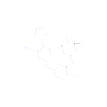 CN1C(C)(C)CC(Nc2nc(Nc3ccc(N4CCCC4)c(C#N)c3)ncc2F)CC1(C)C